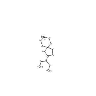 OCC(CO)N1CCC2(CCNCC2)C1